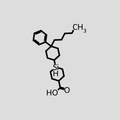 CCCCCC1(c2ccccc2)CCC([SiH]2CCC(C(=O)O)CC2)CC1